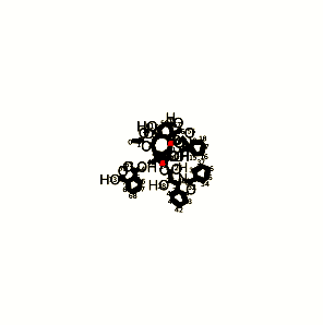 CC(=O)O[C@H]1C(=O)[C@@]2(C)[C@H]([C@H](OC(=O)c3ccccc3)[C@]3(O)C[C@H](OC(=O)[C@H](O)[C@@H](NC(=O)c4ccccc4)c4ccccc4)C(C)=C1C3(C)C)[C@]1(OC(C)=O)CO[C@@H]1C[C@@H]2O.O=C(O)c1ccccc1C(=O)O